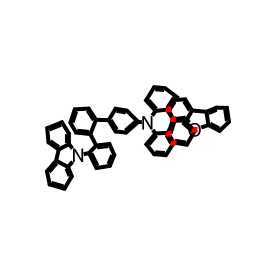 c1ccc(-c2ccccc2N(c2ccc(-c3ccccc3-c3ccccc3-n3c4ccccc4c4ccccc43)cc2)c2ccccc2-c2cccc3c2oc2ccccc23)cc1